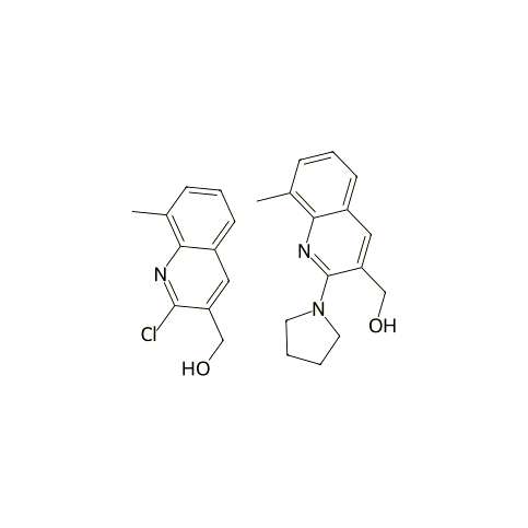 Cc1cccc2cc(CO)c(Cl)nc12.Cc1cccc2cc(CO)c(N3CCCC3)nc12